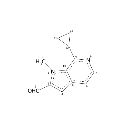 Cn1c(C=O)cc2ccnc(C3CC3)c21